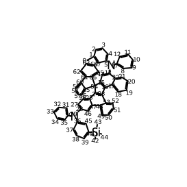 Cc1cccc(N(c2ccccc2)c2cc3c(c4ccccc24)-c2c(c4ccc(N(c5ccccc5)c5cccc([Si](C)(C)C)c5)cc4c4ccccc24)C32c3ccccc3-c3ccccc32)c1